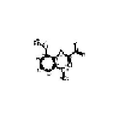 C=C(C)C(=O)Oc1c(OCC)cccc1OCC